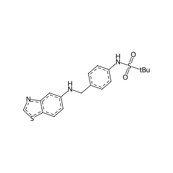 CC(C)(C)S(=O)(=O)Nc1ccc(CNc2ccc3scnc3c2)cc1